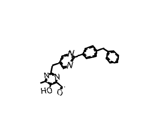 Cc1nc(Cc2cnc(-c3ccc(Cc4ccccc4)cc3)nc2)nc([C]=O)c1O